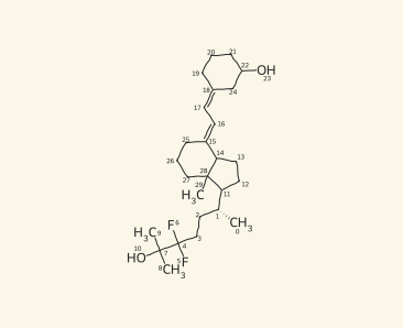 C[C@H](CCC(F)(F)C(C)(C)O)C1CCC2/C(=C/C=C3/CCCC(O)C3)CCCC21C